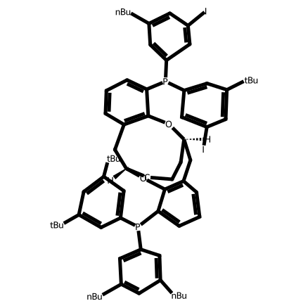 CCCCc1cc(I)cc(P(c2cc(I)cc(C(C)(C)C)c2)c2cccc3c2O[C@@H]2CCC[C@H](C3)Oc3c(cccc3P(c3cc(CCCC)cc(CCCC)c3)c3cc(C(C)(C)C)cc(C(C)(C)C)c3)C2)c1